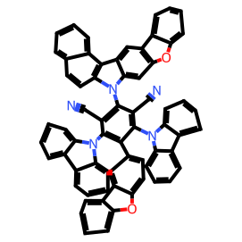 N#Cc1c(-n2c3ccccc3c3ccccc32)c(-c2ccc3oc4ccccc4c3c2)c(-n2c3ccccc3c3ccccc32)c(C#N)c1-n1c2cc3oc4ccccc4c3cc2c2c3ccccc3ccc21